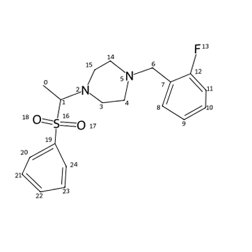 CC(N1CCN(Cc2ccccc2F)CC1)S(=O)(=O)c1ccccc1